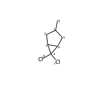 CC1CC2C(C1)C2(Cl)Cl